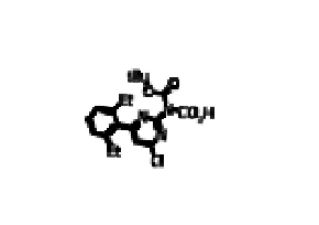 CCc1cccc(CC)c1-c1cc(Cl)nc(N(C(=O)O)C(=O)OC(C)(C)C)n1